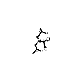 CC(C)[CH2][Al]([CH2]C(C)C)[CH](Cl)Cl